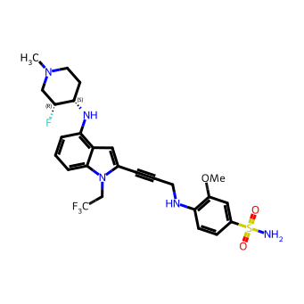 COc1cc(S(N)(=O)=O)ccc1NCC#Cc1cc2c(N[C@H]3CCN(C)C[C@H]3F)cccc2n1CC(F)(F)F